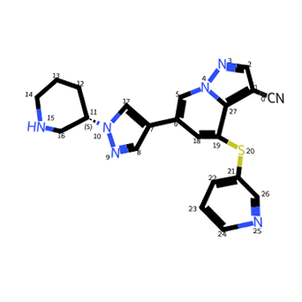 N#Cc1cnn2cc(-c3cnn([C@H]4CCCNC4)c3)cc(Sc3cccnc3)c12